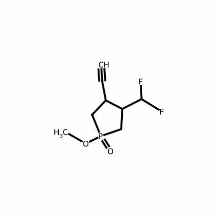 C#CC1CP(=O)(OC)CC1C(F)F